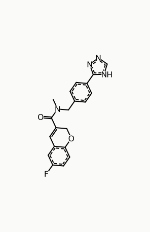 CN(Cc1ccc(-c2nnc[nH]2)cc1)C(=O)C1=Cc2cc(F)ccc2OC1